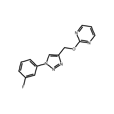 Fc1cccc(-n2cc(COc3ncccn3)nn2)c1